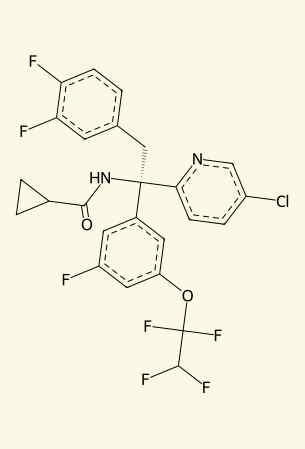 O=C(N[C@](Cc1ccc(F)c(F)c1)(c1cc(F)cc(OC(F)(F)C(F)F)c1)c1ccc(Cl)cn1)C1CC1